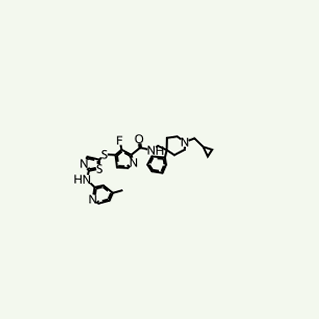 Cc1ccnc(Nc2ncc(Sc3ccnc(C(=O)NCC4(c5ccccc5)CCN(CC5CC5)CC4)c3F)s2)c1